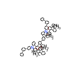 CC1(C)c2cc(-c3ccc4c(c3)-c3cccc(N(c5ccc(-c6cccc(-c7ccccc7)c6)cc5)c5ccccc5-c5cccc6c5-c5ccccc5C6(C)C)c3C4(C)C)ccc2-c2c(-c3ccccc3N(c3ccc(-c4cccc(-c5ccccc5)c4)cc3)c3cccc(-c4cccc5c4C(C)(C)c4ccccc4-5)c3)cccc21